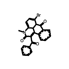 CN1C(=O)C(C(=O)c2ccccc2)=C2c3ccccc3C(=O)C3C(Br)=CC=C1C23